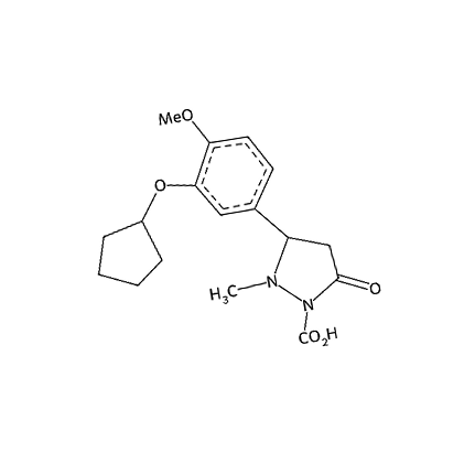 COc1ccc(C2CC(=O)N(C(=O)O)N2C)cc1OC1CCCC1